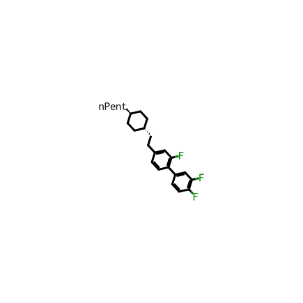 CCCCC[C@H]1CC[C@H](CCc2ccc(-c3ccc(F)c(F)c3)c(F)c2)CC1